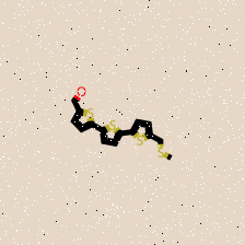 CSCc1ccc(-c2ccc(-c3ccc(C=O)s3)s2)s1